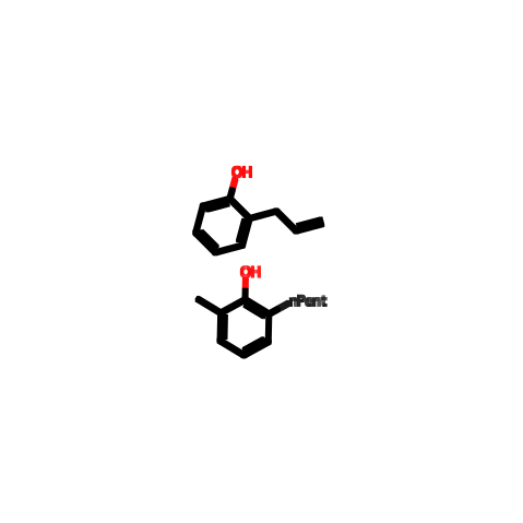 C=CCc1ccccc1O.CCCCCc1cccc(C)c1O